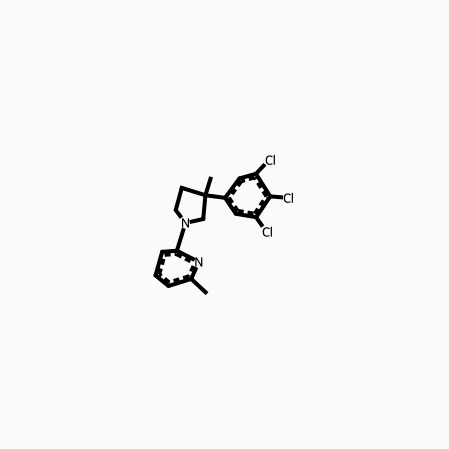 Cc1cccc(N2CCC(C)(c3cc(Cl)c(Cl)c(Cl)c3)C2)n1